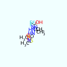 Cc1csc(-c2ccc(NC[C@H](Nc3ncc(CO)c(C(F)(F)F)n3)C(C)C)cc2S(C)(=O)=O)n1